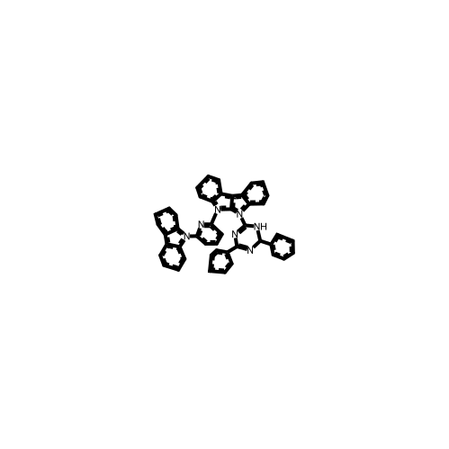 c1ccc(C2=NC(c3ccccc3)NC(n3c4ccccc4c4c5ccccc5n(-c5cccc(-n6c7ccccc7c7ccccc76)n5)c43)=N2)cc1